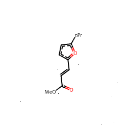 CCCc1ccc(/C=C/C(=O)OC)o1